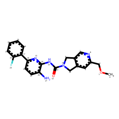 COCc1cc2c(cn1)CN(C(=O)Nc1nc(-c3ccccc3F)ccc1N)C2